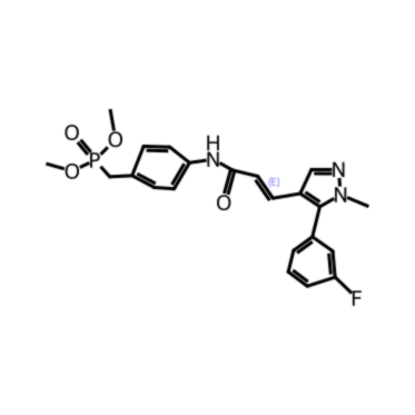 COP(=O)(Cc1ccc(NC(=O)/C=C/c2cnn(C)c2-c2cccc(F)c2)cc1)OC